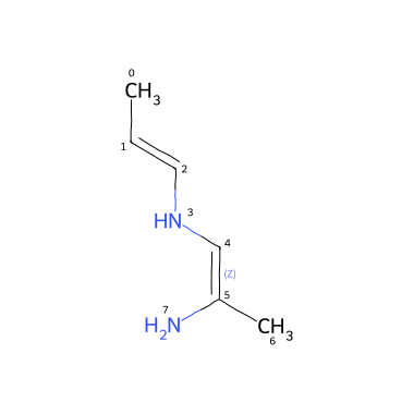 CC=CN/C=C(/C)N